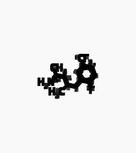 C[C@@H](Cc1cc(C(F)(F)F)ccc1F)C[C@H](C)N